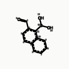 O=Cc1ccc2ccccc2c1B(O)O